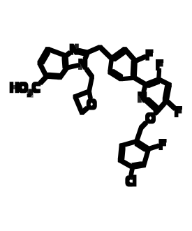 O=C(O)c1ccc2nc(Cc3ccc(-c4nc(OCc5ccc(Cl)cc5F)c(F)cc4F)c(F)c3)n(CC3CCO3)c2c1